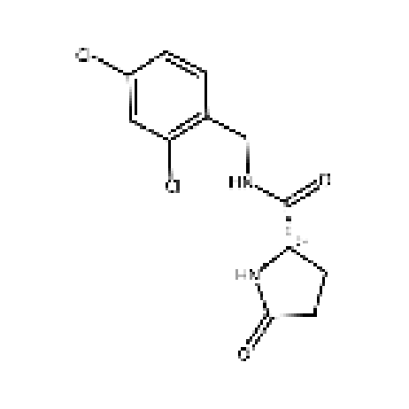 O=C1CC[C@@H](C(=O)NCc2ccc(Cl)cc2Cl)N1